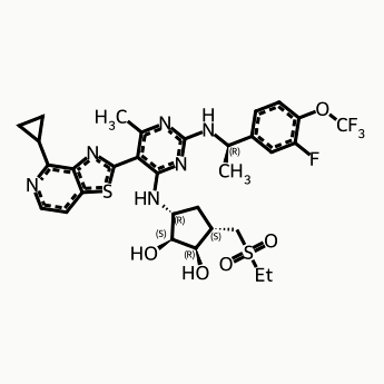 CCS(=O)(=O)C[C@H]1C[C@@H](Nc2nc(N[C@H](C)c3ccc(OC(F)(F)F)c(F)c3)nc(C)c2-c2nc3c(C4CC4)nccc3s2)[C@H](O)[C@@H]1O